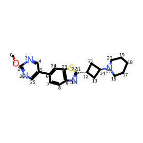 COc1ncc(-c2ccc3nc([C@H]4C[C@H](N5CCCCC5)C4)sc3c2)cn1